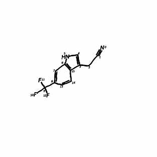 N#CCc1c[nH]c2cc(C(F)(F)F)ccc12